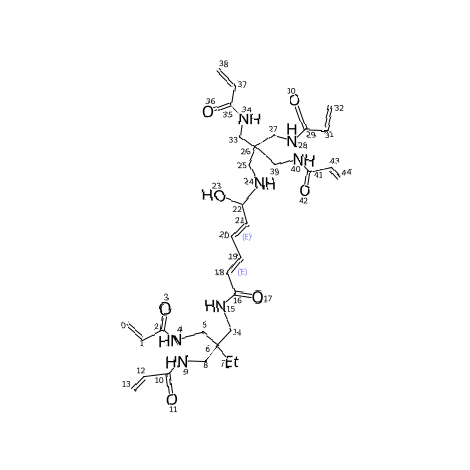 C=CC(=O)NCC(CC)(CNC(=O)C=C)CNC(=O)/C=C/C=C/C(O)NCC(CNC(=O)C=C)(CNC(=O)C=C)CNC(=O)C=C